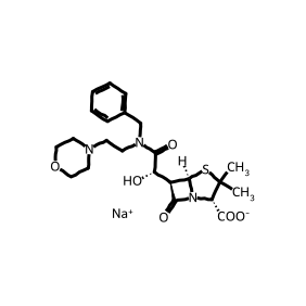 CC1(C)S[C@@H]2[C@H]([C@H](O)C(=O)N(CCN3CCOCC3)Cc3ccccc3)C(=O)N2[C@H]1C(=O)[O-].[Na+]